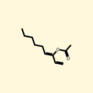 C=C/C(=C/CCCCC)OC(C)=O